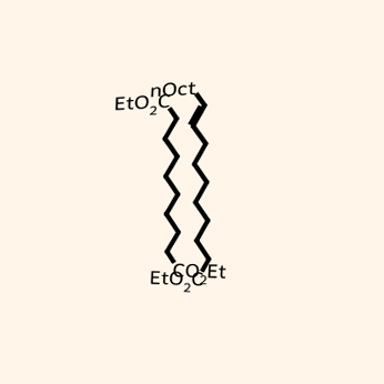 CCCCCCCCC=CCCCCCCCC(=O)OCC.CCOC(=O)CCCCCCCCC(=O)OCC